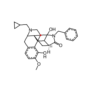 COc1ccc2c(c1O)C13CCN(CC4CC4)C(C2)C12CCC1(O)C3[C@H](C2)C(=O)N1Cc1ccccc1